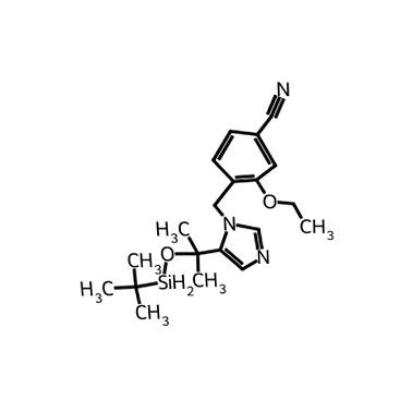 CCOc1cc(C#N)ccc1Cn1cncc1C(C)(C)O[SiH2]C(C)(C)C